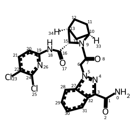 NC(=O)c1nn(CC(=O)N2[C@@H]3CC[C@@H](C3)[C@H]2C(=O)Nc2ccc(Cl)c(Cl)n2)c2ccccc12